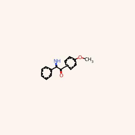 COc1ccc(C(=O)C(=N)c2ccccc2)cc1